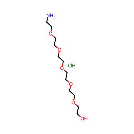 Cl.NCCOCCOCCOCCOCCOCCO